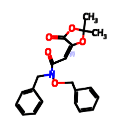 CC1(C)OC(=O)/C(=C\C(=O)N(Cc2ccccc2)OCc2ccccc2)O1